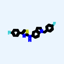 Fc1ccc(Cn2ccc3cc(Nc4nc(-c5ccc(F)cc5)cs4)ccc32)cc1